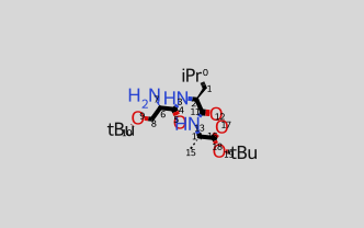 CC(C)C[C@H](NC(=O)[C@@H](N)COC(C)(C)C)C(=O)N[C@@H](C)C(=O)OC(C)(C)C